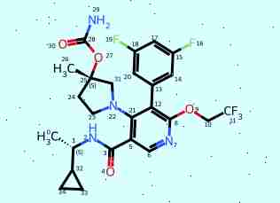 C[C@H](NC(=O)c1cnc(OCC(F)(F)F)c(-c2cc(F)cc(F)c2)c1N1CC[C@](C)(OC(N)=O)C1)C1CC1